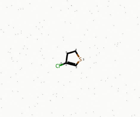 ClC1=CSCC1